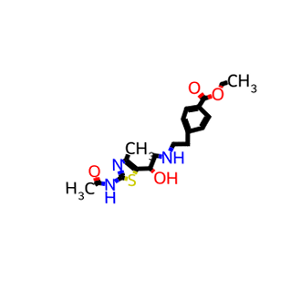 CCOC(=O)c1ccc(CCNCC(O)c2sc(NC(C)=O)nc2C)cc1